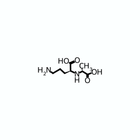 C[C@@H](N[C@@H](CCCN)C(=O)O)C(=O)O